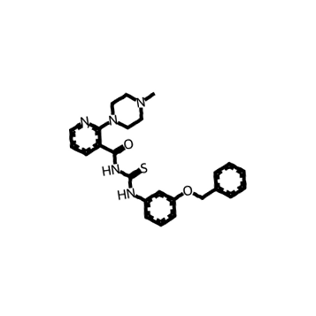 CN1CCN(c2ncccc2C(=O)NC(=S)Nc2cccc(OCc3ccccc3)c2)CC1